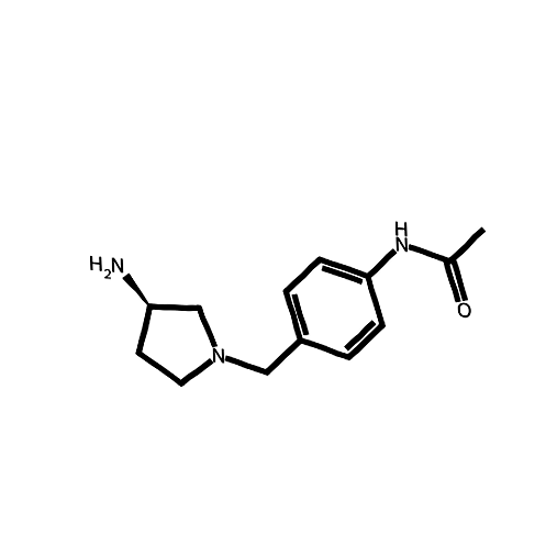 CC(=O)Nc1ccc(CN2CC[C@@H](N)C2)cc1